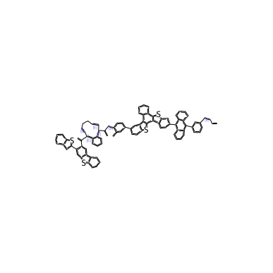 C=C/C=C\c1cccc(-c2c3ccccc3c(-c3ccc4c(c3)sc3c5ccccc5c5c6cc(-c7cc/c(=C/C(=C)C8=c9\cccc\c9=C(C(=C)c9cc%10c(cc9-c9cc%11ccccc%11s9)sc9ccccc9%10)\C=C\CC\C=C\8)c(=C)c7)ccc6sc5c43)c3ccccc23)c1